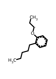 CC[CH]Oc1ccccc1CCCCC